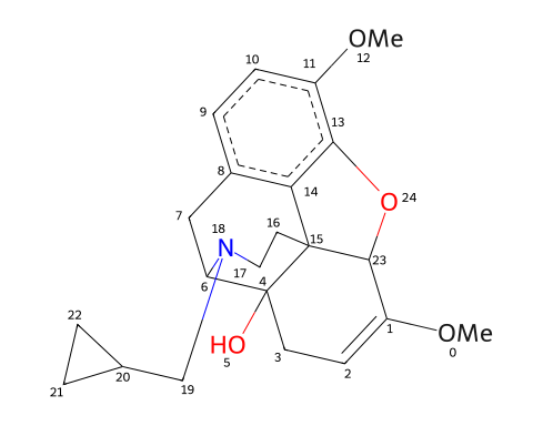 COC1=CCC2(O)C3Cc4ccc(OC)c5c4C2(CCN3CC2CC2)C1O5